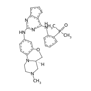 CN1CCN2c3ccc(Nc4nc(Nc5ccccc5P(C)(C)=O)c5sccc5n4)cc3OC[C@H]2C1